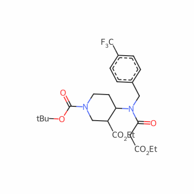 CCOC(=O)CC(=O)N(Cc1ccc(C(F)(F)F)cc1)C1CCN(C(=O)OC(C)(C)C)CC1C(=O)OCC